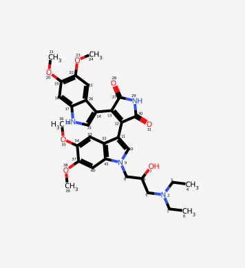 CCN(CC)CC(O)Cn1cc(C2=C(c3c[nH]c4cc(OC)c(OC)cc34)C(=O)NC2=O)c2cc(OC)c(OC)cc21